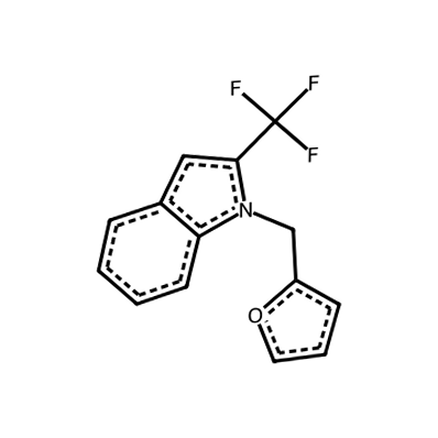 FC(F)(F)c1cc2ccccc2n1Cc1ccco1